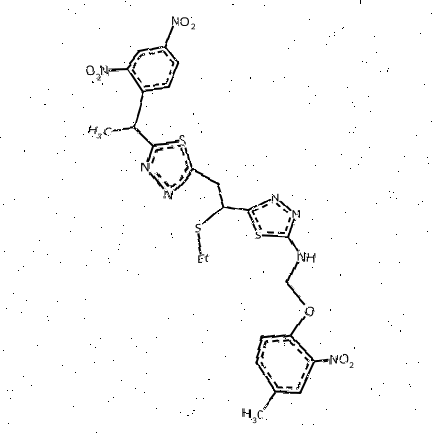 CCSC(Cc1nnc(C(C)c2ccc([N+](=O)[O-])cc2[N+](=O)[O-])s1)c1nnc(NCOc2ccc(C)cc2[N+](=O)[O-])s1